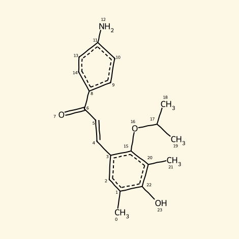 Cc1cc(/C=C/C(=O)c2ccc(N)cc2)c(OC(C)C)c(C)c1O